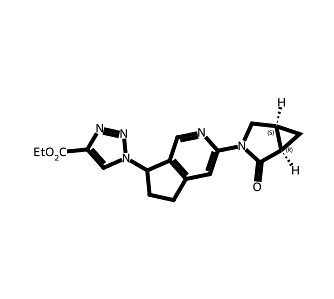 CCOC(=O)c1cn(C2CCc3cc(N4C[C@H]5C[C@H]5C4=O)ncc32)nn1